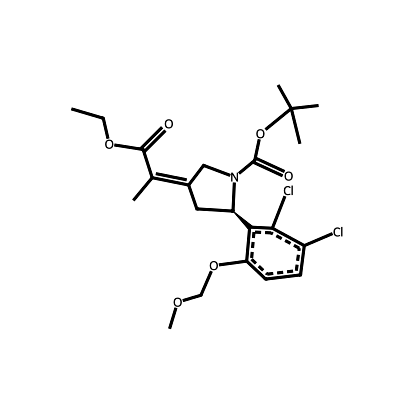 CCOC(=O)/C(C)=C1/C[C@H](c2c(OCOC)ccc(Cl)c2Cl)N(C(=O)OC(C)(C)C)C1